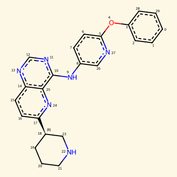 c1ccc(Oc2ccc(Nc3ncnc4ccc([C@@H]5CCCNC5)nc34)cn2)cc1